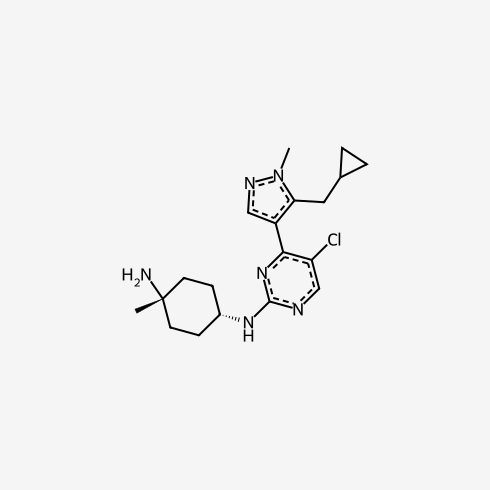 Cn1ncc(-c2nc(N[C@H]3CC[C@@](C)(N)CC3)ncc2Cl)c1CC1CC1